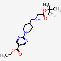 CCOC(=O)c1cnc(N2CCC(CNCC(=O)OC(C)(C)C)CC2)nc1